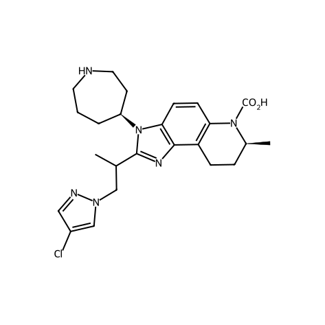 CC(Cn1cc(Cl)cn1)c1nc2c3c(ccc2n1[C@H]1CCCNCC1)N(C(=O)O)[C@@H](C)CC3